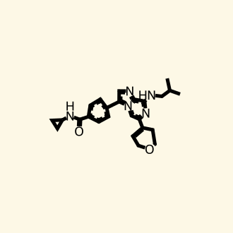 CC(C)CNc1nc(C2=CCOCC2)cn2c(-c3ccc(C(=O)NC4CC4)cc3)cnc12